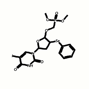 COP(=O)(COC1OC(n2cc(I)c(=O)[nH]c2=O)CC1[Se]c1ccccc1)OC